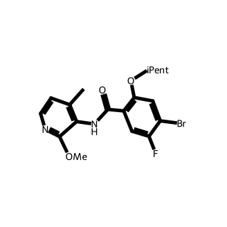 CCCC(C)Oc1cc(Br)c(F)cc1C(=O)Nc1c(C)ccnc1OC